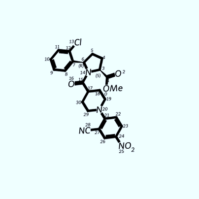 COC(=O)[C@@H]1CC[C@H](c2ccccc2Cl)N1C(=O)C1CCN(c2ccc([N+](=O)[O-])cc2C#N)CC1